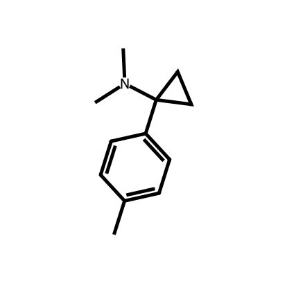 Cc1ccc(C2(N(C)C)CC2)cc1